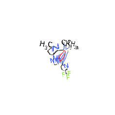 CC[C@@H](CNc1ccc(C(F)(F)F)cn1)N(C)C(=O)c1nc(C)ccc1-n1nccn1